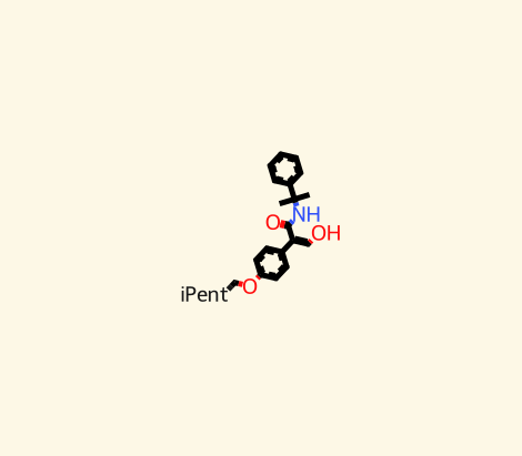 CCCC(C)COc1ccc(C(=CO)C(=O)NC(C)(C)c2ccccc2)cc1